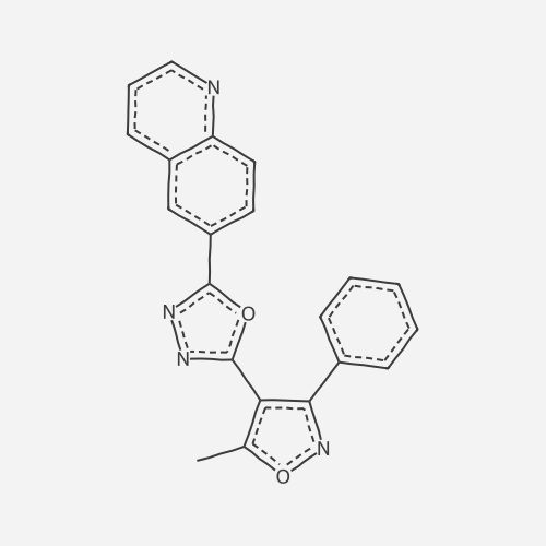 Cc1onc(-c2ccccc2)c1-c1nnc(-c2ccc3ncccc3c2)o1